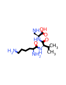 CC(C)[C@H](NC(=O)[C@@H](N)CCCCN)C(=O)N[C@@H](CN)C(=O)O